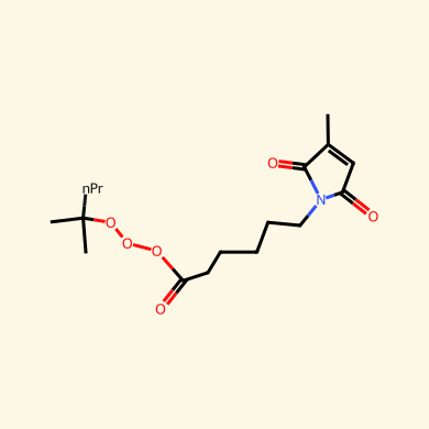 CCCC(C)(C)OOOC(=O)CCCCCN1C(=O)C=C(C)C1=O